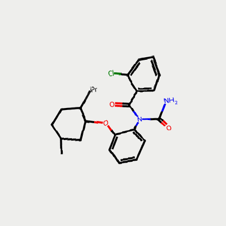 CC1CCC(C(C)C)C(Oc2ccccc2N(C(N)=O)C(=O)c2ccccc2Cl)C1